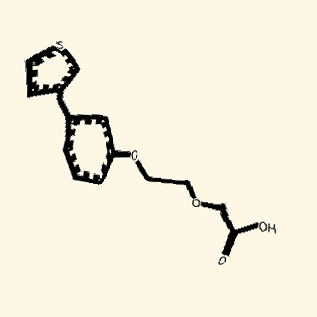 O=C(O)COCCOc1cccc(-c2ccsc2)c1